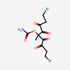 CC(OC(N)=O)(C(=O)C(=O)CCBr)C(=O)C(=O)CCBr